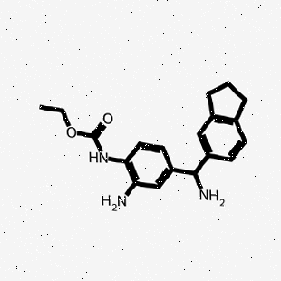 CCOC(=O)Nc1ccc(C(N)c2ccc3c(c2)CCC3)cc1N